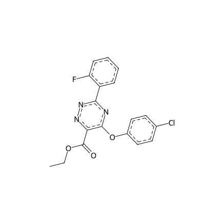 CCOC(=O)c1nnc(-c2ccccc2F)nc1Oc1ccc(Cl)cc1